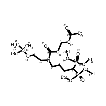 CCOP(=O)(OCC)C(CCCN(CCO[Si](C)(C)C(C)(C)C)C(=O)OCOC(=O)CC)P(=O)(OCC)OCC